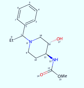 CCC(c1ccccc1)N1CC[C@H](NC(=O)OC)[C@@H](O)C1